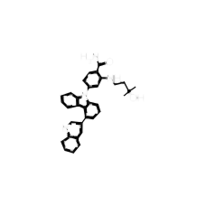 CC(C)(O)CCNc1cc(-n2c3ccccc3c3c(-c4cnc5ccccc5c4)cccc32)ccc1C(N)=O